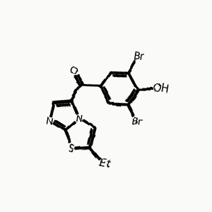 CCc1cn2c(C(=O)c3cc(Br)c(O)c(Br)c3)cnc2s1